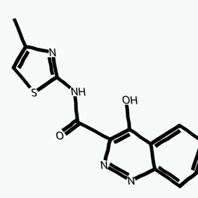 Cc1csc(NC(=O)c2nnc3ccccc3c2O)n1